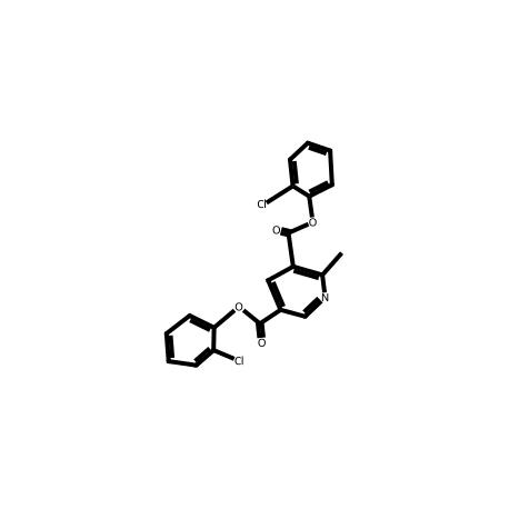 Cc1ncc(C(=O)Oc2ccccc2Cl)cc1C(=O)Oc1ccccc1Cl